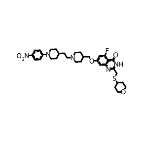 O=c1[nH]c(CSC2CCOCC2)nc2cc(OCC3CCN(CCC4CCN(c5ccc([N+](=O)[O-])cc5)CC4)CC3)cc(F)c12